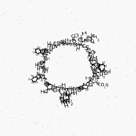 CCCC[C@H]1C(=O)N(C)[C@@H](CCCC)C(=O)N[C@@H](CCC(=O)O)C(=O)N[C@H](C(=O)NCC(N)=O)CSCC(=O)N[C@@H](Cc2ccc(O)cc2)C(=O)N(C)[C@@H](C)C(=O)N[C@@H](CCC(=O)O)C(=O)N2CCC[C@H]2C(=O)N[C@@H](Cc2c[nH]cn2)C(=O)N[C@@H](CCCN)C(=O)N2C[C@H](O)C[C@H]2C(=O)C[C@@H](Cc2c[nH]c3ccccc23)C(=O)N[C@@H](CO)C(=O)N[C@@H](Cc2c[nH]c3ccccc23)C(=O)N1C